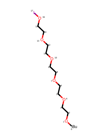 CCC(C)OCCOCCOCCOCCOCCOI